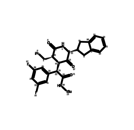 CC(C)C[C@@H]1C(=O)N[C@H](C2Cc3ccccc3C2)C(=O)N1[C@@H](C(=O)NC(C)(C)C)c1cc(F)cc(F)c1